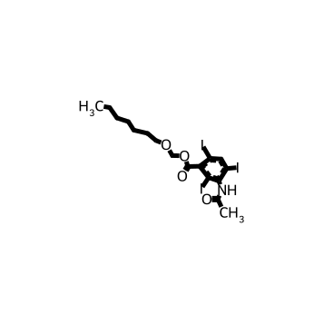 CCCCCCCOCOC(=O)c1c(I)cc(I)c(NC(C)=O)c1I